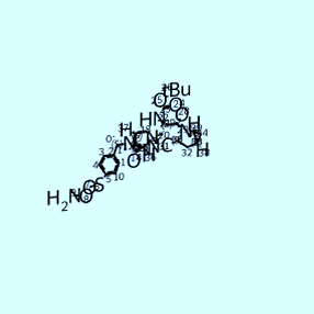 C[C@@H](c1ccc(SOON)cc1)N1C(=O)[C@@H]2C[C@H]1CN2C[C@H](NC(=O)OC(C)(C)C)C(=O)N1[C@H](C#N)C[C@@H]2C[C@@H]21